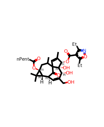 CCCCCC(=O)O[C@@]12CC(C)C34C=C(C)[C@H](OC(=O)c5c(CC)noc5CC)[C@@]3(O)[C@H](O)C(CO)=C[C@H](C4=O)[C@@H]1C2(C)C